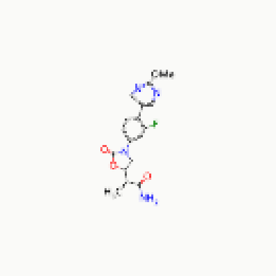 COc1ncc(-c2ccc(N3CC([C@H](C)C(N)=O)OC3=O)cc2F)cn1